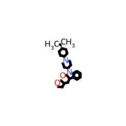 CC(C)[C@H]1CC[C@@H](N2CCC(N3C(=O)C(CC4CCOC4)c4ccccc43)CC2)CC1